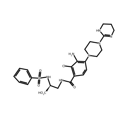 Nc1c(N2CCN(C3=NCCCN3)CC2)ccc(C(=O)NC[C@H](NS(=O)(=O)c2ccccc2)C(=O)O)c1Cl